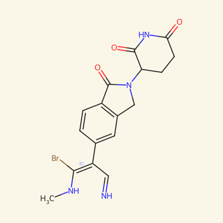 CN/C(Br)=C(\C=N)c1ccc2c(c1)CN(C1CCC(=O)NC1=O)C2=O